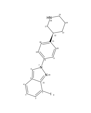 Ic1cccc2cn(-c3ccc([C@@H]4CCCNC4)cc3)nc12